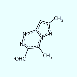 Cc1cc2nnc([C]=O)c(C)n2n1